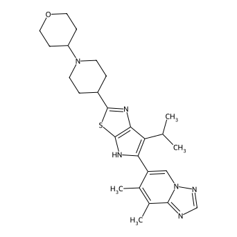 Cc1c(-c2[nH]c3sc(C4CCN(C5CCOCC5)CC4)nc3c2C(C)C)cn2ncnc2c1C